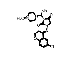 CCCC(N1CCN(C)CC1)N1C(=O)CN(/N=C2\CCOc3ccc(Cl)cc32)C1=O